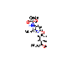 COC(=O)C(=O)Nc1ccc(O[C@H]2CC[C@H](C(=O)OC)CC2)nc1OC